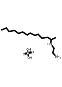 CCCCCCCCCCCCC(C)NCCN.O=S(=O)(O)O